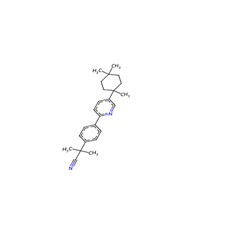 CC1(C)CCC(C)(c2ccc(-c3ccc(C(C)(C)C#N)cc3)nc2)CC1